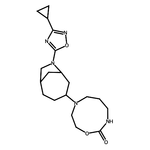 O=C1NCCCN(C2CCC3CC(C2)N(c2nc(C4CC4)no2)C3)CCO1